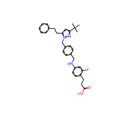 CC(C)(C)c1cc(CCc2ccccc2)n(Cc2ccc(CNc3ccc(CCC(=O)O)c(F)c3)cc2)n1